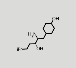 CC(C)CC[C@@H](O)[C@@H](N)CC1CCC(O)CC1